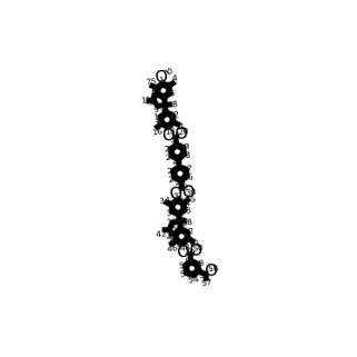 COc1c(C)cc(C(C)(CC(C)C)c2cc(C)c(OC(=O)c3ccc(-c4ccc(C(=O)Oc5c(C)cc(C(C)(CC(C)C)c6cc(C)c(OC(=O)c7cccc(C(C)=O)c7)c(C)c6)cc5C)cc4)cc3)c(C)c2)cc1C